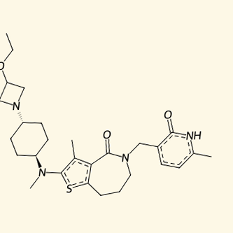 CCOC1CN([C@H]2CC[C@H](N(C)c3sc4c(c3C)C(=O)N(Cc3ccc(C)[nH]c3=O)CCC4)CC2)C1